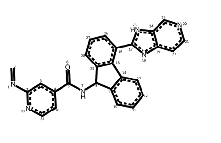 C=Nc1cc(C(=O)NC2c3ccccc3-c3c(-c4nc5ccncc5[nH]4)cccc32)ccn1